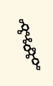 O=C(COc1ccc(Cl)cc1Cl)Oc1ccc2c(=O)c(-c3ccc(Cl)cc3)coc2c1